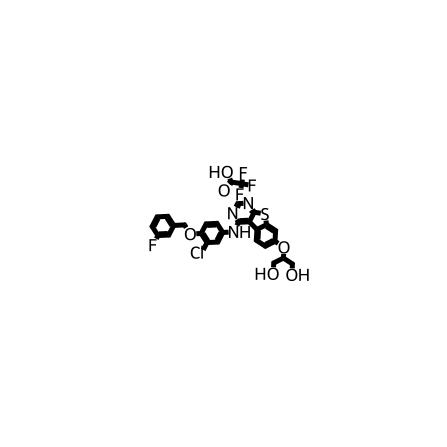 O=C(O)C(F)(F)F.OCC(CO)Oc1ccc2c(c1)sc1ncnc(Nc3ccc(OCc4cccc(F)c4)c(Cl)c3)c12